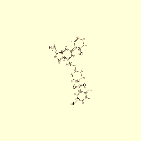 Bc1cnn2c(NCC3CCN(S(=O)(=O)c4cc(F)ccc4C)CC3)cc(C3=C(Cl)CCC=C3)nc12